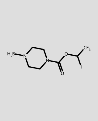 BN1CCN(C(=O)OC(I)C(F)(F)F)CC1